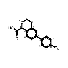 O=C(O)C1OCCc2cc(-c3ccc(F)cc3)ccc21